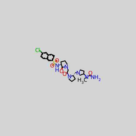 CN(C(N)=O)C1CCN(C[C@@H]2CCCN2C(=O)CN2CCC[C@H](NS(=O)(=O)c3ccc4cc(Cl)ccc4c3)C2=O)C1